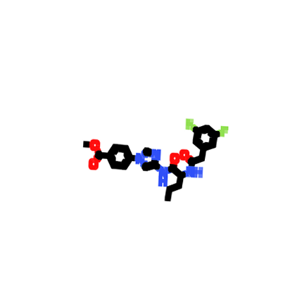 CCCC(NC(=O)Cc1cc(F)cc(F)c1)C(=O)Nc1cn(-c2ccc(C(=O)OC)cc2)cn1